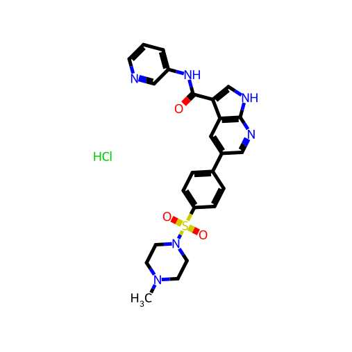 CN1CCN(S(=O)(=O)c2ccc(-c3cnc4[nH]cc(C(=O)Nc5cccnc5)c4c3)cc2)CC1.Cl